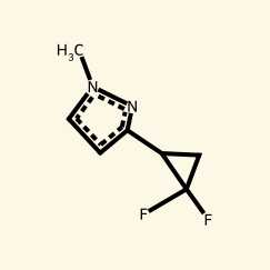 Cn1ccc(C2CC2(F)F)n1